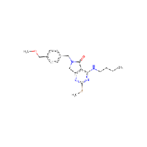 CCCCNc1nc(SC)nc2c1C(=O)N(Cc1ccc(COC)cc1)C2